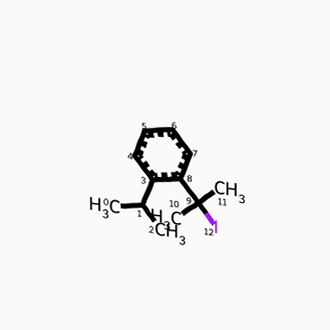 CC(C)c1ccccc1C(C)(C)I